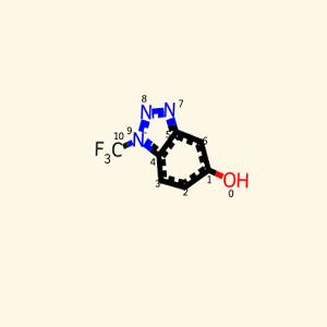 Oc1ccc2c(c1)nnn2C(F)(F)F